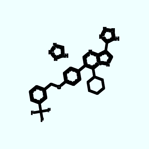 FC(F)(F)c1cccc(COc2ccc(-c3cnc4c(-c5nnn[nH]5)cnn4c3C3CCCCC3)cc2)c1.c1nnn[nH]1